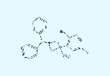 O=C(O)C1(c2cc(F)ccc2Br)CN(C(c2ccccc2)c2ccccc2)C1